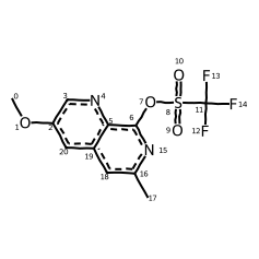 COc1cnc2c(OS(=O)(=O)C(F)(F)F)nc(C)cc2c1